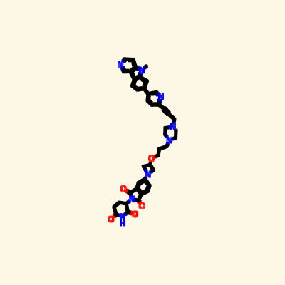 Cn1c2ccncc2c2ccc(-c3ccc(C#CCN4CCN(CCCOC5CN(c6ccc7c(c6)C(=O)N(C6CCC(=O)NC6=O)C7=O)C5)CC4)nc3)cc21